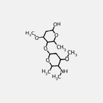 CNC1C(C)OC(OC2C(C)OC(O)CC2OC)CC1OC